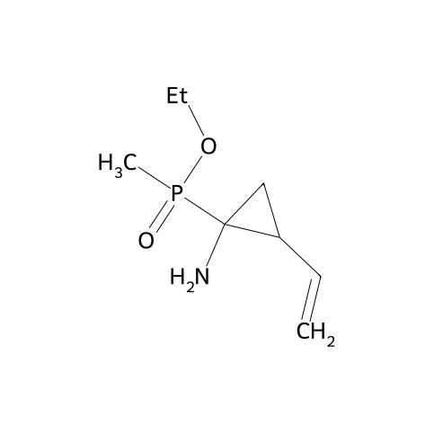 C=CC1CC1(N)P(C)(=O)OCC